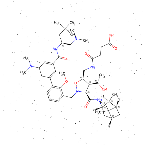 COc1c(CN2O[C@@H](CNC(=O)CCC(=O)O)[C@@H]([C@H](C)O)[C@H]2C(=O)N[C@H]2C[C@H]3C[C@@H]([C@@H]2C)C3(C)C)cccc1C1=CC(C(=O)N[C@H](CN(C)C)CC(C)(C)C)=CC(N(C)C)C1